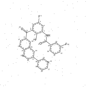 O=C(Nc1cc(F)cc(C(=O)c2ccc3ncc(-c4cccnc4)cc3c2)c1F)c1cccc(F)c1